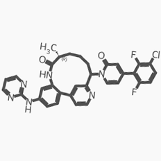 C[C@@H]1CCCC(n2ccc(-c3c(F)ccc(Cl)c3F)cc2=O)c2cc(ccn2)-c2ccc(Nc3ncccn3)cc2NC1=O